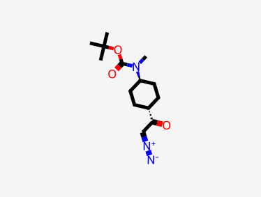 CN(C(=O)OC(C)(C)C)[C@H]1CC[C@H](C(=O)C=[N+]=[N-])CC1